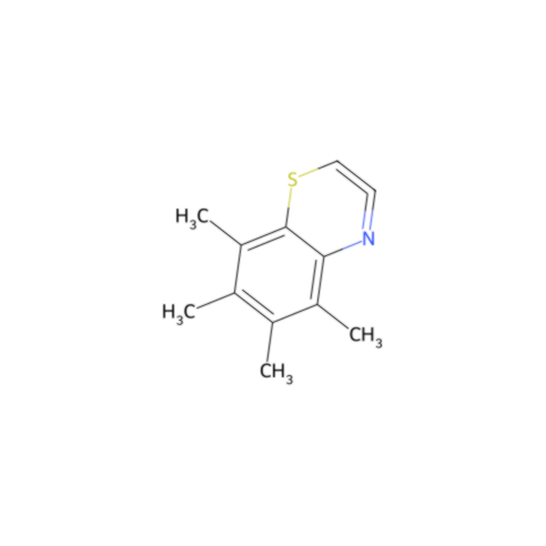 Cc1c(C)c(C)c2c(c1C)N=C=CS2